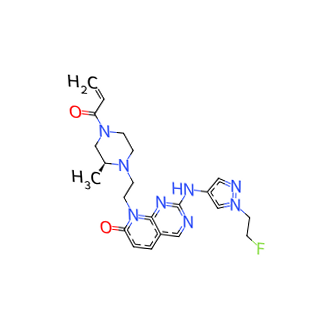 C=CC(=O)N1CCN(CCn2c(=O)ccc3cnc(Nc4cnn(CCF)c4)nc32)[C@@H](C)C1